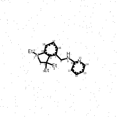 CCN1CC(CC)(CC)c2c(CNc3ccccn3)cccc21